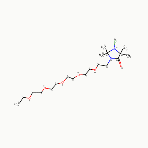 CCOCCOCCOCCOCCOCCN1C(=O)C(C)(C)N(Cl)C1(C)C